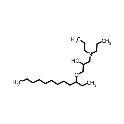 CCCCCCCCCC(CC)OCC(O)CN(CCC)CCC